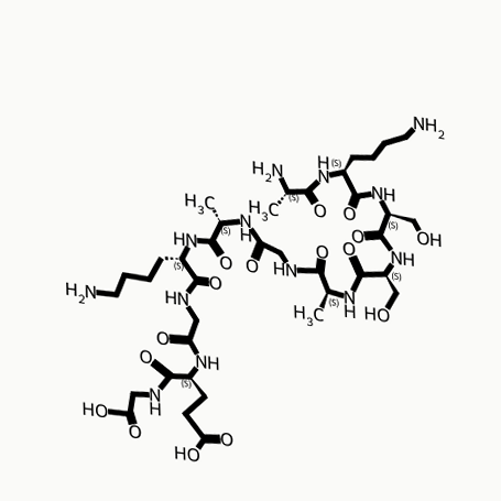 C[C@H](N)C(=O)N[C@@H](CCCCN)C(=O)N[C@@H](CO)C(=O)N[C@@H](CO)C(=O)N[C@@H](C)C(=O)NCC(=O)N[C@@H](C)C(=O)N[C@@H](CCCCN)C(=O)NCC(=O)N[C@@H](CCC(=O)O)C(=O)NCC(=O)O